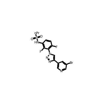 CCCS(=O)(=O)Nc1ccc(F)c(-n2cc(-c3cncc(Br)c3)nn2)c1F